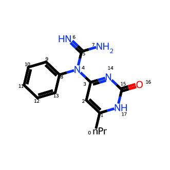 CCCc1cc(N(C(=N)N)c2ccccc2)nc(=O)[nH]1